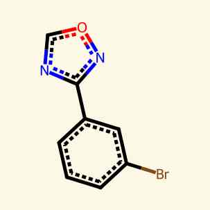 Brc1cccc(-c2ncon2)c1